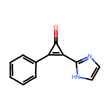 O=c1c(-c2ccccc2)c1-c1ncc[nH]1